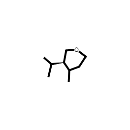 CC(C)[C@H]1COCCC1C